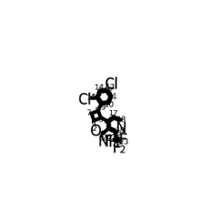 NC(=O)c1c(C2CCC2c2ccc(Cl)cc2Cl)ccnc1C(F)(F)F